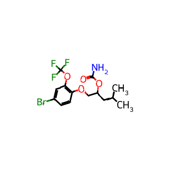 CC(C)CC(COc1ccc(Br)cc1OC(F)(F)F)OC(N)=O